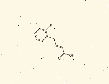 O=C(O)C=CCc1ccccc1F